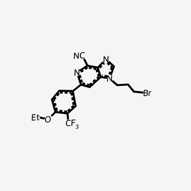 CCOc1ccc(-c2cc3c(ncn3CCCBr)c(C#N)n2)cc1C(F)(F)F